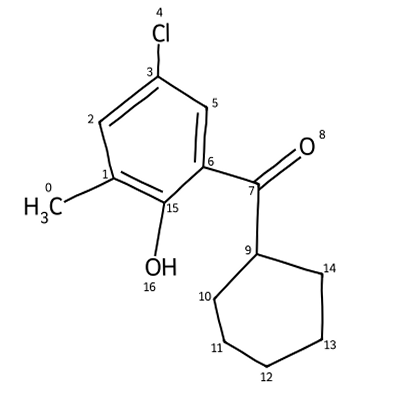 Cc1cc(Cl)cc(C(=O)C2CCCCC2)c1O